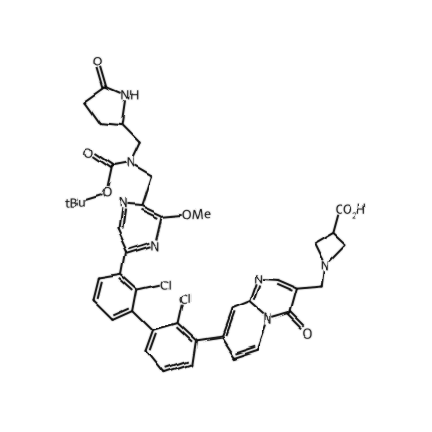 COc1nc(-c2cccc(-c3cccc(-c4ccn5c(=O)c(CN6CC(C(=O)O)C6)cnc5c4)c3Cl)c2Cl)cnc1CN(CC1CCC(=O)N1)C(=O)OC(C)(C)C